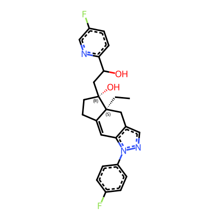 CC[C@]12Cc3cnn(-c4ccc(F)cc4)c3C=C1CC[C@@]2(O)CC(O)c1ccc(F)cn1